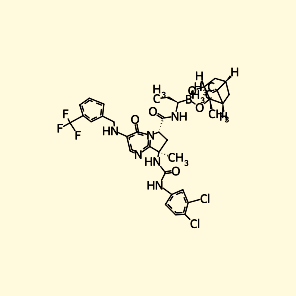 CC[C@H](NC(=O)[C@@H]1C[C@@](C)(NC(=O)Nc2ccc(Cl)c(Cl)c2)c2ncc(NCc3cccc(C(F)(F)F)c3)c(=O)n21)B1O[C@@H]2C[C@@H]3C[C@@H](C3(C)C)[C@]2(C)O1